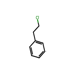 ClCCc1c[c]ccc1